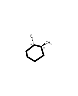 C[C@H]1CCCC[C@@H]1F